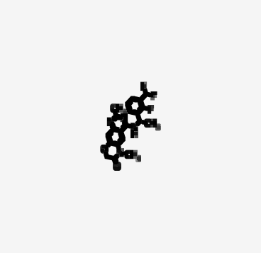 Cc1nc(N[C@H](C)c2cccc(C(F)F)c2F)c2cc3c(cc2n1)OCC(=O)N3C